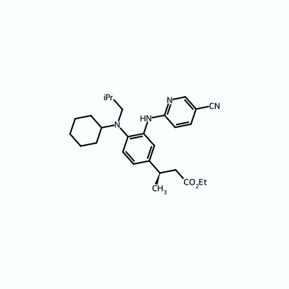 CCOC(=O)C[C@@H](C)c1ccc(N(CC(C)C)C2CCCCC2)c(Nc2ccc(C#N)cn2)c1